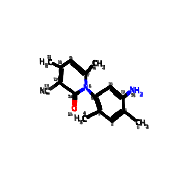 Cc1cc(C)c(-n2c(C)cc(C)c(C#N)c2=O)cc1N